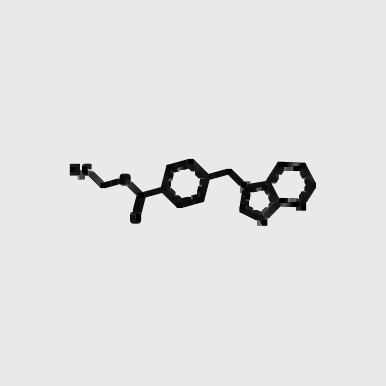 CCOC(=O)c1ccc(Cn2cnc3ncccc32)cc1